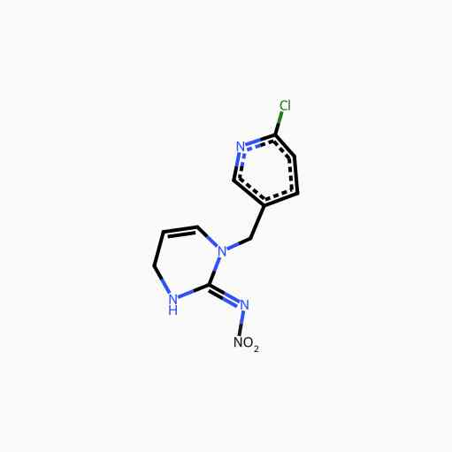 O=[N+]([O-])N=C1NCC=CN1Cc1ccc(Cl)nc1